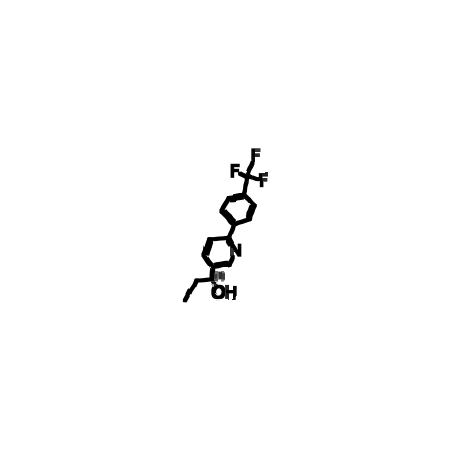 CC[C@@H](O)c1ccc(-c2ccc(C(F)(F)F)cc2)nc1